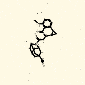 CNc1cccc(C2CC2)c1C(=N)C(C)CC(=O)N1C2CC3CC1CC(C#N)(C3)C2